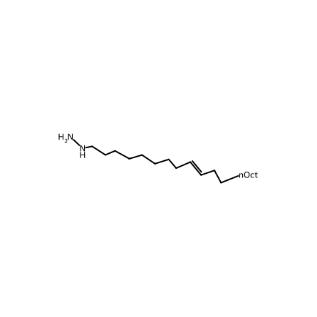 CCCCCCCCCCC=CCCCCCCCCNN